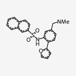 CNCc1ccc(-c2ccco2)c(NS(=O)(=O)c2ccc3ccccc3c2)c1